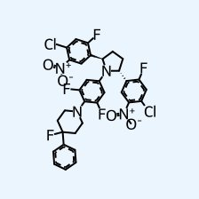 O=[N+]([O-])c1cc([C@H]2CC[C@H](c3cc([N+](=O)[O-])c(Cl)cc3F)N2c2cc(F)c(N3CCC(F)(c4ccccc4)CC3)c(F)c2)c(F)cc1Cl